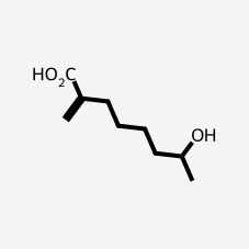 C=C(CCCCC(C)O)C(=O)O